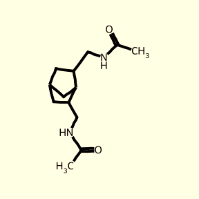 CC(=O)NCC1CC2CC(CNC(C)=O)C1C2